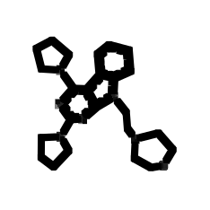 c1ccc2c(c1)c1c(N3CCCC3)nc(N3CCCC3)nc1n2CCN1CCOCC1